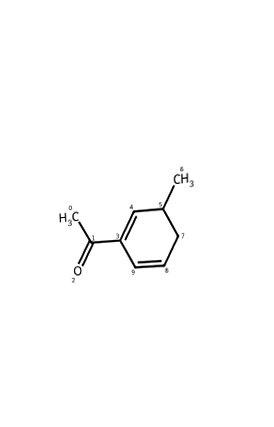 CC(=O)C1=CC(C)CC=C1